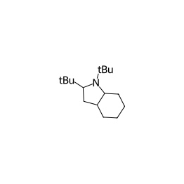 CC(C)(C)C1CC2CCCCC2N1C(C)(C)C